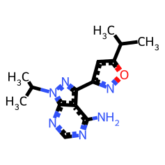 CC(C)c1cc(-c2nn(C(C)C)c3ncnc(N)c23)no1